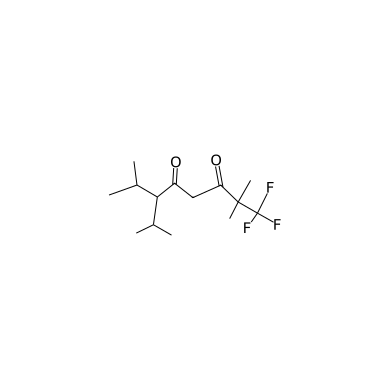 CC(C)C(C(=O)CC(=O)C(C)(C)C(F)(F)F)C(C)C